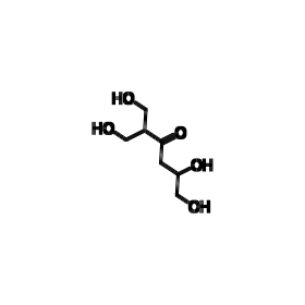 O=C(CC(O)CO)C(CO)CO